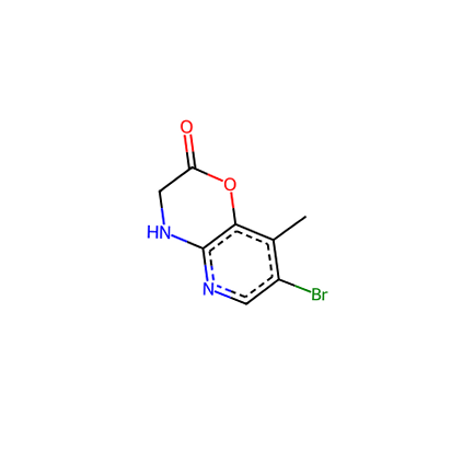 Cc1c(Br)cnc2c1OC(=O)CN2